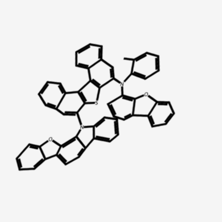 Cc1ccccc1N(c1cccc2c1oc1ccccc12)c1cc2ccccc2c2c1sc1c(-n3c4ccccc4c4ccc5c6ccccc6oc5c43)cc3ccccc3c12